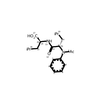 CC(=O)N(c1ccccc1)[C@@H](CC(C)C)C(=O)N[C@@H](CC(C)C)C(=O)O